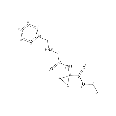 CCOC(=O)C1(NC(=O)CNCc2ccccc2)CC1